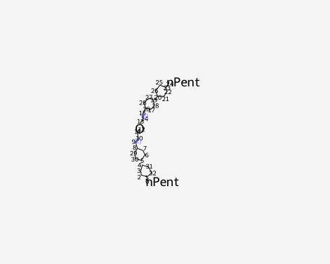 CCCCC[C@H]1CC[C@H](C2CCC(/C=C/COC/C=C/C3CCC([C@H]4CC[C@H](CCCCC)CC4)CC3)CC2)CC1